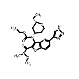 CCOC(=O)N(c1c(C(=O)N(C)OC)oc2ccc(-c3c[nH]nn3)nc12)[C@H]1CCO[C@@H](CC)C1